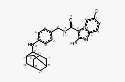 CCc1nc2ccc(Cl)cn2c1C(=O)NCc1ccc(NC2C3CC4CC(C3)CC2C4)cc1